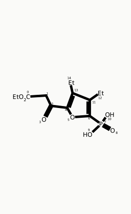 CCOC(=O)CC(=O)c1oc(P(=O)(O)O)c(CC)c1CC